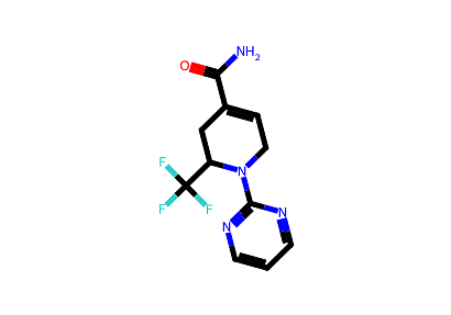 NC(=O)C1=CCN(c2ncccn2)C(C(F)(F)F)C1